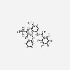 Cc1ccc(NC(=O)c2c(F)c(F)c(F)c(F)c2F)c(N(Cc2ccccc2)C(=O)C(O)C(Cl)(Cl)Cl)c1